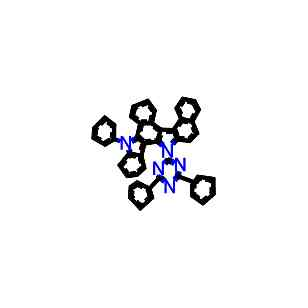 c1ccc(-c2nc(-c3ccccc3)nc(-n3c4ccc5ccccc5c4c4c5ccccc5c5c(c6ccccc6n5-c5ccccc5)c43)n2)cc1